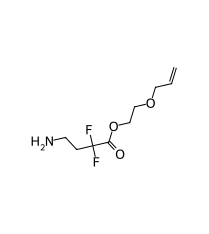 C=CCOCCOC(=O)C(F)(F)CCN